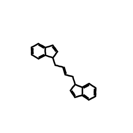 C(=CCC1C=Cc2ccccc21)CC1C=Cc2ccccc21